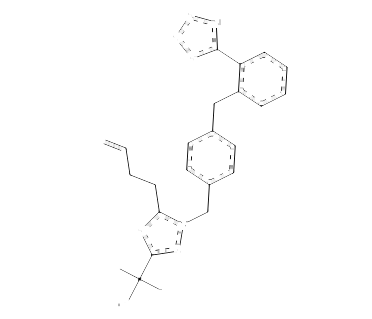 C=CCCc1nc(C(F)(F)CCC)nn1Cc1ccc(Cc2ccccc2-c2nnn[nH]2)cc1